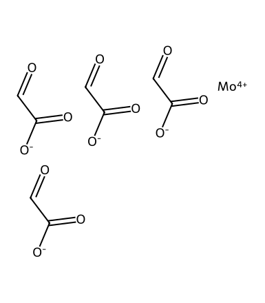 O=CC(=O)[O-].O=CC(=O)[O-].O=CC(=O)[O-].O=CC(=O)[O-].[Mo+4]